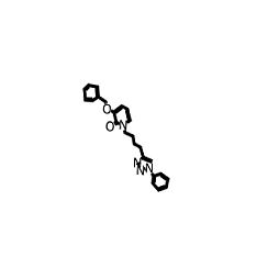 O=c1c(OCc2ccccc2)cccn1CCCCc1cn(-c2ccccc2)nn1